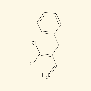 C=CC(Cc1ccccc1)=C(Cl)Cl